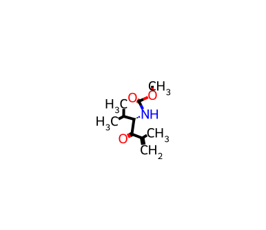 C=C(C)C(=O)[C@@H](NC(=O)OC)C(C)C